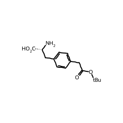 CC(C)(C)OC(=O)Cc1ccc(C[C@@H](N)C(=O)O)cc1